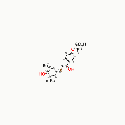 CC(C)(Oc1ccc([C@@H](O)CSc2cc(C(C)(C)C)c(O)c(C(C)(C)C)c2)cc1)C(=O)O